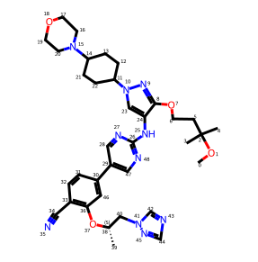 COC(C)(C)CCOc1nn(C2CCC(N3CCOCC3)CC2)cc1Nc1ncc(-c2ccc(C#N)c(O[C@@H](C)Cn3cncn3)c2)cn1